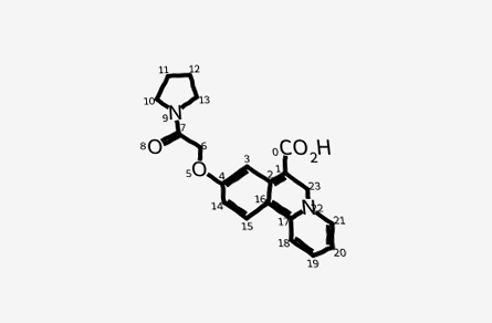 O=C(O)C1=c2cc(OCC(=O)N3CCCC3)ccc2=C2C=CC=CN2C1